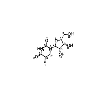 O=C1NC(=O)N([C@@H]2O[C@H](CO)[C@@H](O)[C@H]2O)C[C]1F